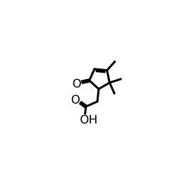 CC1=CC(=O)C(CC(=O)O)C1(C)C